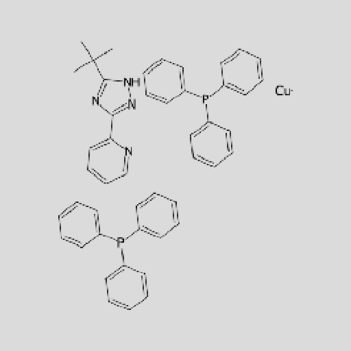 CC(C)(C)c1nc(-c2ccccn2)n[nH]1.[Cu].c1ccc(P(c2ccccc2)c2ccccc2)cc1.c1ccc(P(c2ccccc2)c2ccccc2)cc1